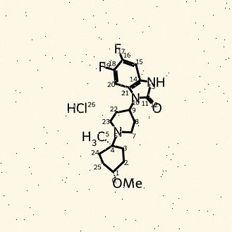 CO[C@H]1CC[C@](C)(N2CCC(n3c(=O)[nH]c4cc(F)c(F)cc43)CC2)CC1.Cl